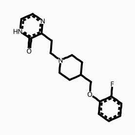 O=c1[nH]ccnc1CCN1CCC(COc2ccccc2F)CC1